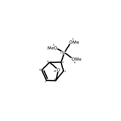 CO[Si](OC)(OC)C1CC2C=CC1O2